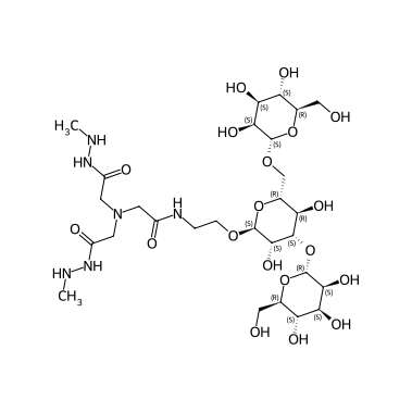 CNNC(=O)CN(CC(=O)NCCO[C@H]1O[C@H](CO[C@H]2O[C@H](CO)[C@@H](O)[C@H](O)[C@@H]2O)[C@@H](O)[C@H](O[C@H]2O[C@H](CO)[C@@H](O)[C@H](O)[C@@H]2O)[C@@H]1O)CC(=O)NNC